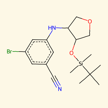 CC(C)(C)[Si](C)(C)OC1COCC1Nc1cc(Br)cc(C#N)c1